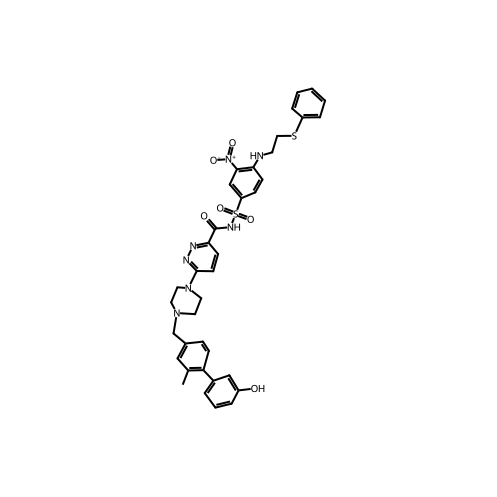 Cc1cc(CN2CCN(c3ccc(C(=O)NS(=O)(=O)c4ccc(NCCSc5ccccc5)c([N+](=O)[O-])c4)nn3)CC2)ccc1-c1cccc(O)c1